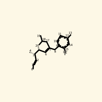 C/C=C/[C@H](C)C/C=C(/Cc1ccc(C)cc1F)CC(C)C